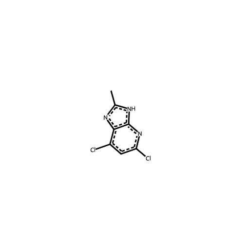 Cc1nc2c(Cl)cc(Cl)nc2[nH]1